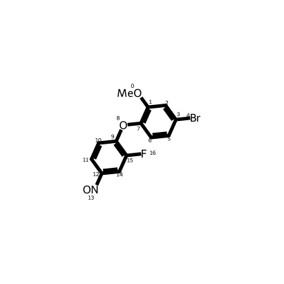 COc1cc(Br)ccc1Oc1ccc(N=O)cc1F